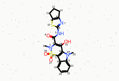 CN1C(C(=O)Nc2nc3c(s2)CCC3)=C(O)c2c(c3ccccc3n2C)S1(=O)=O